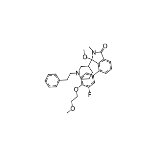 COCCOc1ccc(-c2cccc3c2C(OC)(C2CCCN(CCc4ccccc4)C2)N(C)C3=O)cc1F